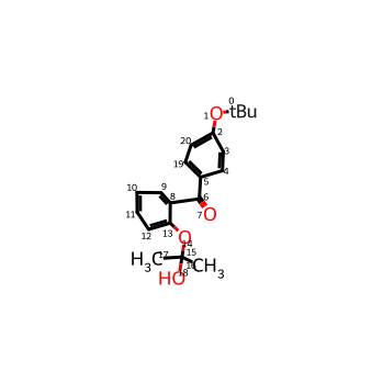 CC(C)(C)Oc1ccc(C(=O)c2ccccc2OC(C)(C)O)cc1